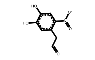 O=CCc1cc(O)c(O)cc1[N+](=O)[O-]